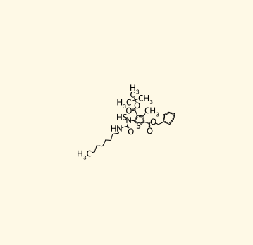 CCCCCCCCNC(=O)N(S)c1sc(C(=O)OCc2ccccc2)c(C)c1C(=O)OC(C)(C)C